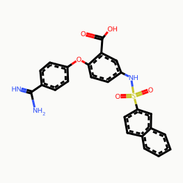 N=C(N)c1ccc(Oc2ccc(NS(=O)(=O)c3ccc4ccccc4c3)cc2C(=O)O)cc1